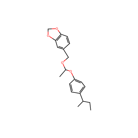 CCC(C)c1ccc(OC(C)OCc2ccc3c(c2)OCO3)cc1